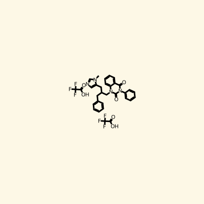 Cn1cncc1CC(Cc1ccccc1)Cn1c(=O)n(-c2ccccc2)c(=O)c2ccccc21.O=C(O)C(F)(F)F.O=C(O)C(F)(F)F